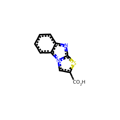 O=C(O)c1cn2c(nc3ccccc32)s1